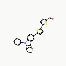 O=Cc1ccc(-c2ccc(-c3ccc4c(c3)C3C5CCC(C5)C3N4c3ccccc3)s2)s1